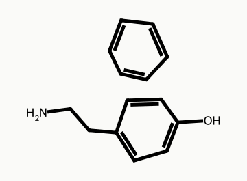 NCCc1ccc(O)cc1.c1ccccc1